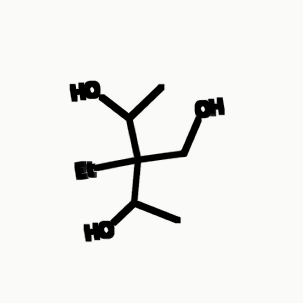 CCC(CO)(C(C)O)C(C)O